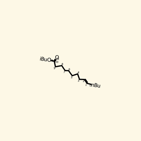 CCCC/C=C/CCCCCCCC(=O)OCC(C)C